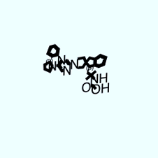 CC(C)(C[C@@H]1c2ccccc2CC12CCN(c1cnc(N3CCC[C@@H]3c3ccccc3)cn1)CC2)NC(=O)O